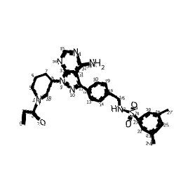 C=CC(=O)N1CCCC(n2nc(-c3ccc(CNS(=O)(=O)c4cc(C)cc(C)c4)cc3)c3c(N)ncnc32)C1